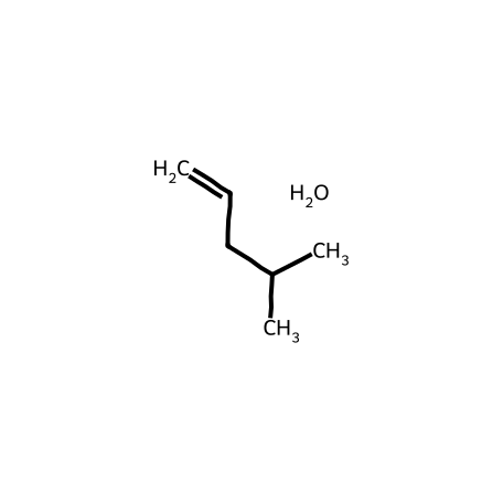 C=CCC(C)C.O